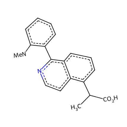 CNc1ccccc1-c1nccc2c(C(C)C(=O)O)cccc12